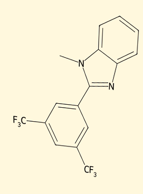 Cn1c(-c2cc(C(F)(F)F)cc(C(F)(F)F)c2)nc2ccccc21